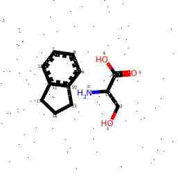 NC(CO)C(=O)O.c1ccc2c(c1)CCC2